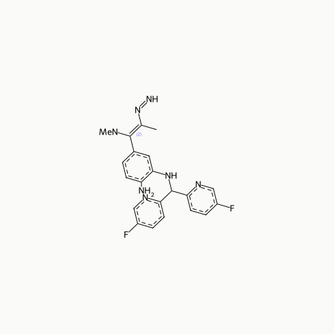 CN/C(=C(/C)N=N)c1ccc(N)c(NC(c2ccc(F)cn2)c2ccc(F)cn2)c1